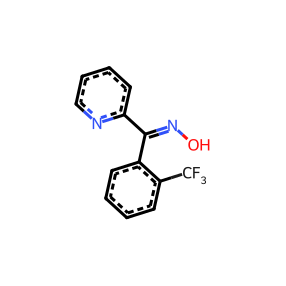 ON=C(c1ccccn1)c1ccccc1C(F)(F)F